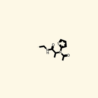 [CH2]CNC(=O)C(C)N(C(C)=O)c1cccs1